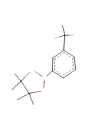 CC(F)(F)c1cccc(B2OC(C)(C)C(C)(C)O2)c1